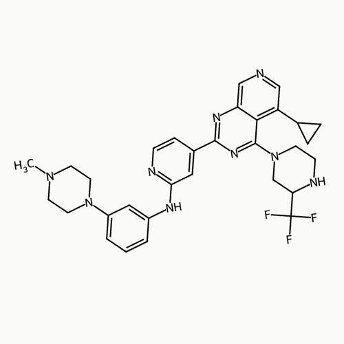 CN1CCN(c2cccc(Nc3cc(-c4nc(N5CCNC(C(F)(F)F)C5)c5c(C6CC6)cncc5n4)ccn3)c2)CC1